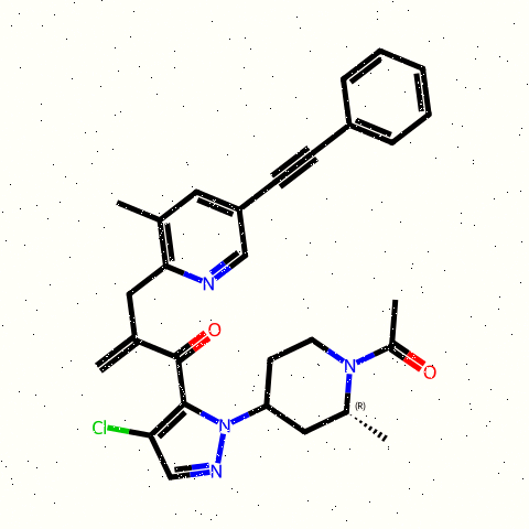 C=C(Cc1ncc(C#Cc2ccccc2)cc1C)C(=O)c1c(Cl)cnn1C1CCN(C(C)=O)[C@H](C)C1